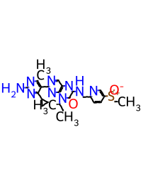 CC[C@@H](C)n1c(=O)c(NCc2ccc([S+]([O-])CC)cn2)nc2cnc(-c3c(C)nc(N)nc3C3CC3)nc21